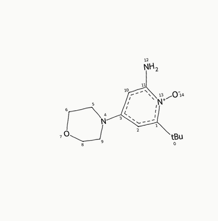 CC(C)(C)c1cc(N2CCOCC2)cc(N)[n+]1[O-]